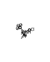 CCCc1nn(C)c2c(NCc3ccc(Cl)cc3)nc(/C=C/c3cc(OC)c(OC)c(OC)c3)nc12